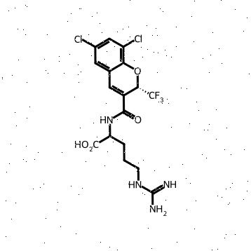 N=C(N)NCCCC(NC(=O)C1=Cc2cc(Cl)cc(Cl)c2O[C@@H]1C(F)(F)F)C(=O)O